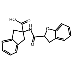 O=C(NC1(C(=O)O)Cc2ccccc2C1)C1Cc2ccccc2O1